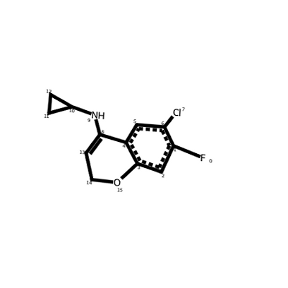 Fc1cc2c(cc1Cl)C(NC1CC1)=CCO2